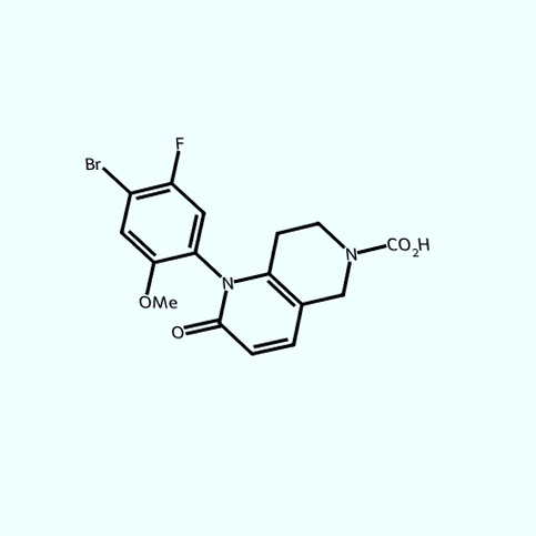 COc1cc(Br)c(F)cc1-n1c2c(ccc1=O)CN(C(=O)O)CC2